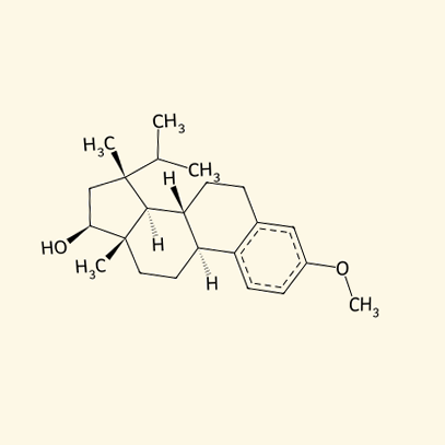 COc1ccc2c(c1)CC[C@@H]1[C@@H]2CC[C@]2(C)[C@@H](O)C[C@](C)(C(C)C)[C@@H]12